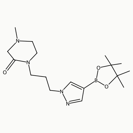 CN1CCN(CCCn2cc(B3OC(C)(C)C(C)(C)O3)cn2)C(=O)C1